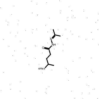 CCCCCCC(C)CCC(=O)NN=C(C)C